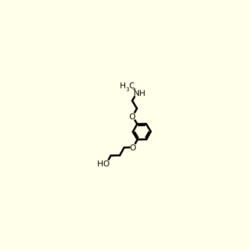 CNCCOc1cccc(OCCCO)c1